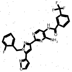 Nc1nc(-c2cc(-c3ccon3)n(Cc3ccccc3F)n2)ncc1NC(=O)c1cccc(C(F)(F)F)c1